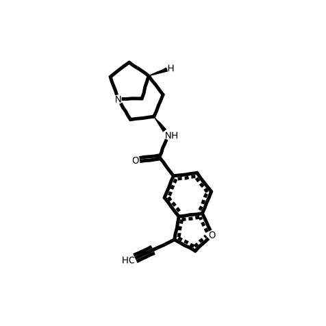 C#Cc1coc2ccc(C(=O)N[C@@H]3C[C@H]4CCN(C4)C3)cc12